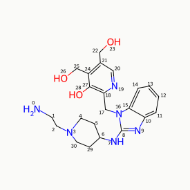 NCCN1CCC(Nc2nc3ccccc3n2Cc2ncc(CO)c(CO)c2O)CC1